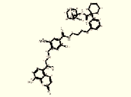 COc1cc(C(=O)NCCCCc2cccc(C3(C(=O)O[C@H]4CN5CCC4CC5)CCCCC3)c2)c(Cl)cc1CNC[C@@H](O)c1ccc(O)c2[nH]c(=O)ccc12